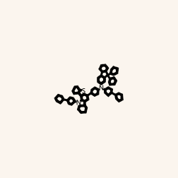 c1ccc(-c2ccc(N(c3ccc(-c4cc5c6ccccc6n(-c6ccc(-c7ccccc7)cc6)c5c5c4sc4ccccc45)cc3)c3ccc4c(c3)C(c3ccccc3)(c3ccccc3)c3ccccc3-4)cc2)cc1